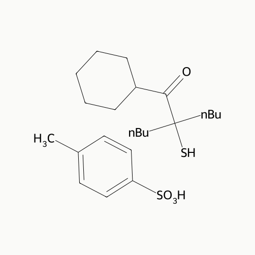 CCCCC(S)(CCCC)C(=O)C1CCCCC1.Cc1ccc(S(=O)(=O)O)cc1